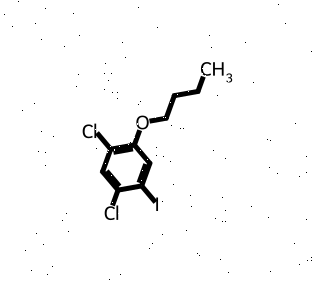 CCCCOc1cc(I)c(Cl)cc1Cl